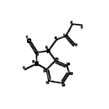 C=C(CC)Cn1c(=O)n(C)c2ccccc21